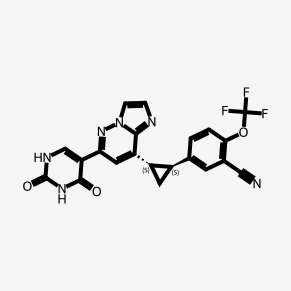 N#Cc1cc([C@H]2C[C@@H]2c2cc(-c3c[nH]c(=O)[nH]c3=O)nn3ccnc23)ccc1OC(F)(F)F